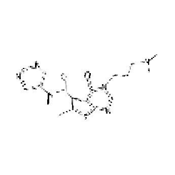 Cc1sc2ncn(CCCN(C)C)c(=O)c2c1C(=O)Nc1cncnc1